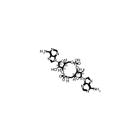 Nc1ncnc2c1ncn2[C@@H]1O[C@@H]2COP(=O)(O)O[C@H]3[C@@H](F)[C@H](n4cnc5c(N)ncnc54)O[C@@H]3CNS(=O)(=O)O[C@H]2[C@H]1O